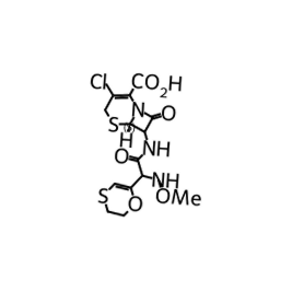 CONC(C(=O)NC1C(=O)N2C(C(=O)O)=C(Cl)CS[C@@H]12)C1=CSCCO1